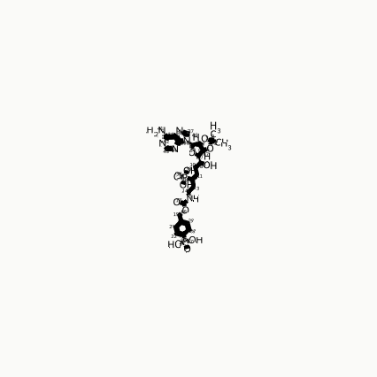 CC1(C)O[C@@H]2[C@H](O1)[C@@H](C(O)CCC(CCNC(=O)OCc1ccc(P(=O)(O)O)cc1)P(=O)(O)O)O[C@H]2n1cnc2c(N)ncnc21